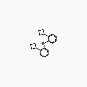 c1ccc(C2CCC2)c(Nc2ccccc2C2CCC2)c1